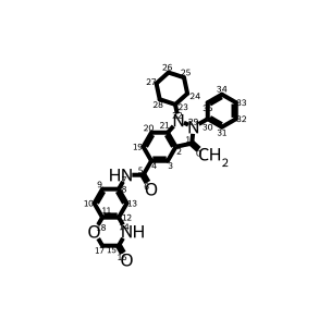 C=C1c2cc(C(=O)Nc3ccc4c(c3)NC(=O)CO4)ccc2N(C2CCCCC2)N1c1ccccc1